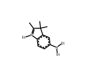 CCN(CC)c1ccc2c(c1)C(C)(C)C(C)=[N+]2CC